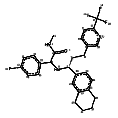 CNC(=O)C(N[C@H](CCc1ccc(C(F)(F)F)nc1)c1ccc2c(c1)CCCC2)c1ccc(F)cc1